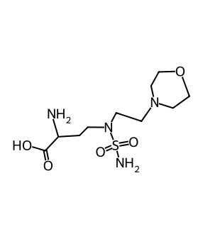 NC(CCN(CCN1CCOCC1)S(N)(=O)=O)C(=O)O